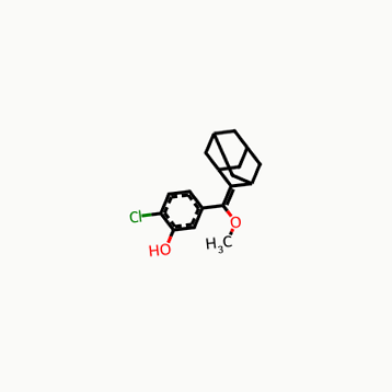 COC(=C1C2CC3CC(C2)CC1C3)c1ccc(Cl)c(O)c1